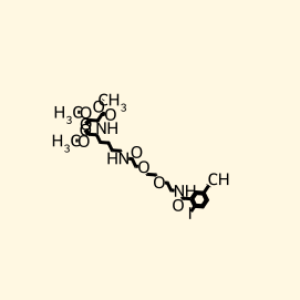 C#Cc1ccc(I)c(C(=O)NCCOCCOCC(=O)NCCCCC(NC(C(=O)OC)C(=O)OC)C(=O)OC)c1